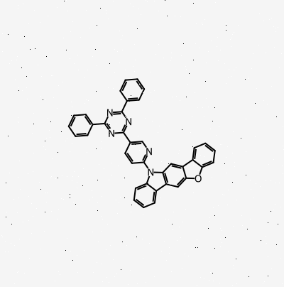 c1ccc(-c2nc(-c3ccccc3)nc(-c3ccc(-n4c5ccccc5c5cc6oc7ccccc7c6cc54)nc3)n2)cc1